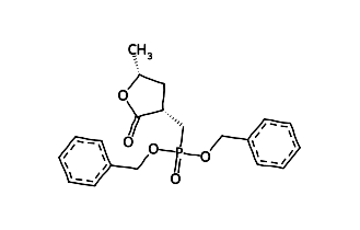 C[C@@H]1C[C@H](CP(=O)(OCc2ccccc2)OCc2ccccc2)C(=O)O1